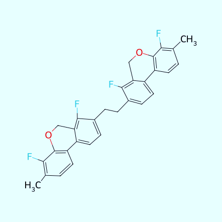 Cc1ccc2c(c1F)OCc1c-2ccc(CCc2ccc3c(c2F)COc2c-3ccc(C)c2F)c1F